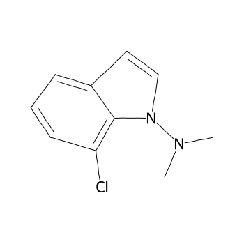 CN(C)n1ccc2cccc(Cl)c21